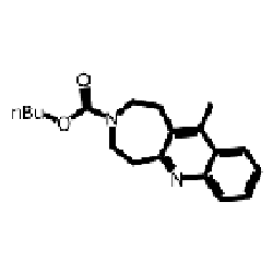 CCCCOC(=O)N1CCc2nc3ccccc3c(C)c2CC1